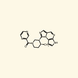 C[C@H]1CCN(C(=O)c2cnccn2)C[C@H]1c1ncc2cnc3[nH]ccc3n12